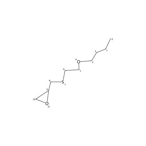 CCCCOCCSCC1CO1